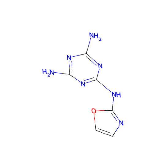 Nc1nc(N)nc(Nc2ncco2)n1